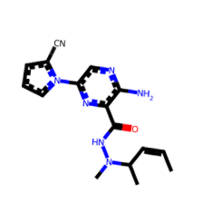 C/C=C\C(C)N(C)NC(=O)c1nc(-n2cccc2C#N)cnc1N